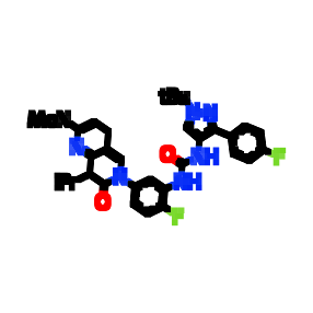 CNC1=CCC2=CN(c3ccc(F)c(NC(=O)Nc4cn(C(C)(C)C)nc4-c4ccc(F)cc4)c3)C(=O)C(C(C)C)C2=N1